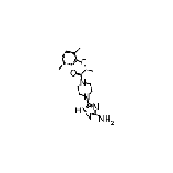 Cc1ccc(C)c(OC(C)C(=O)N2CCN(c3nc(N)n[nH]3)CC2)c1